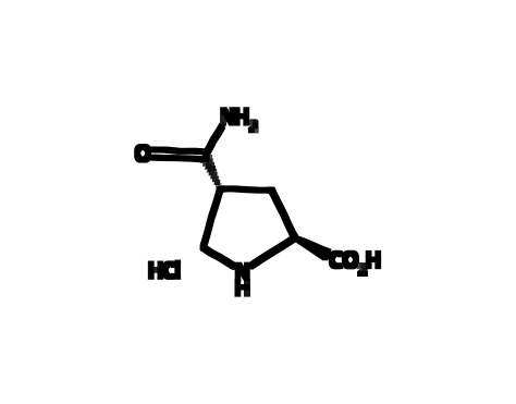 Cl.NC(=O)[C@H]1CN[C@H](C(=O)O)C1